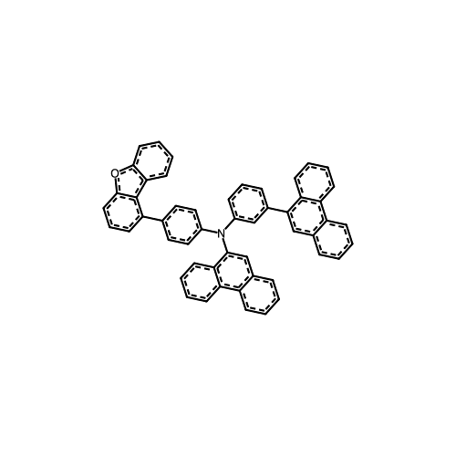 c1cc(-c2cc3ccccc3c3ccccc23)cc(N(c2ccc(-c3cccc4oc5ccccc5c34)cc2)c2cc3ccccc3c3ccccc23)c1